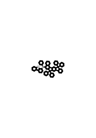 c1ccc(N(c2cc3c(c4ccccc24)-c2cc4c(cc2C3(c2ccccc2)c2ccccc2)-c2ccccc2C4(c2ccccc2)c2ccccc2)c2cccc3c2oc2ccccc23)cc1